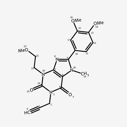 C#CCn1c(=O)c2c(nc(-c3ccc(OC)c(OC)c3)n2C)n(CCOC)c1=O